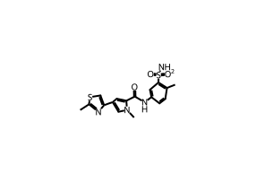 Cc1nc(-c2cc(C(=O)Nc3ccc(C)c(S(N)(=O)=O)c3)n(C)c2)cs1